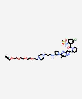 C#CCOCCOCCOCCOCCN1CCN(CCCN[C@H]2CCN(c3nc4cc([C@@H]5CCCCN5C(=O)c5cc(Cl)ccc5NS(C)(=O)=O)nn4cc3C)C2)CC1